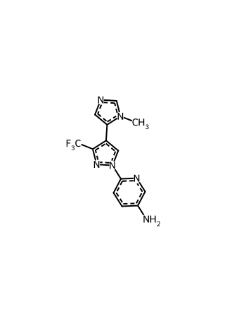 Cn1cncc1-c1cn(-c2ccc(N)cn2)nc1C(F)(F)F